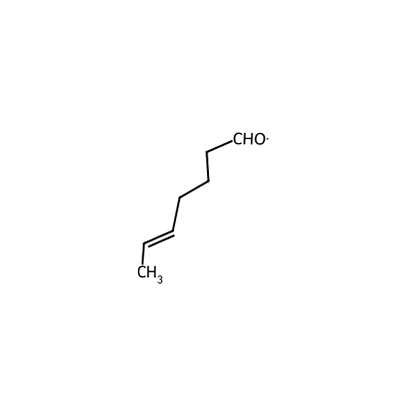 C/C=C/CCC[C]=O